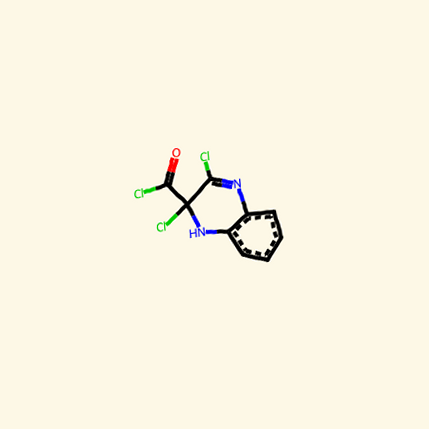 O=C(Cl)C1(Cl)Nc2ccccc2N=C1Cl